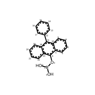 OB(O)Oc1c2ccccc2c(-c2ccccc2)c2ccccc12